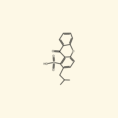 CC(C)Cc1ccc2oc3ccccc3c(=O)c2c1S(=O)(=O)O